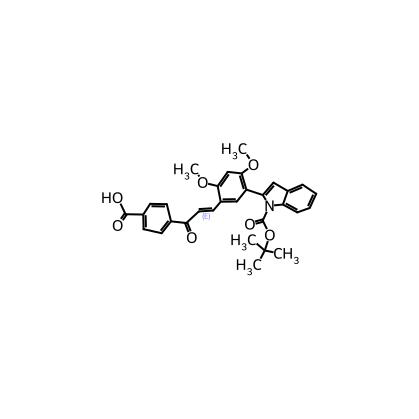 COc1cc(OC)c(-c2cc3ccccc3n2C(=O)OC(C)(C)C)cc1/C=C/C(=O)c1ccc(C(=O)O)cc1